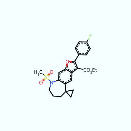 CCOC(=O)c1c(-c2ccc(F)cc2)oc2cc3c(cc12)C1(CCCN3S(C)(=O)=O)CC1